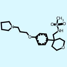 CS(=O)(=O)NCC1(c2ccc(OCCCN3CCCC3)cc2)CCOCC1